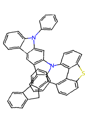 c1ccc(-n2c3ccccc3c3cc4c5ccccc5n(-c5cccc6sc7cccc(-c8cccc9c8Cc8ccccc8-9)c7c56)c4cc32)cc1